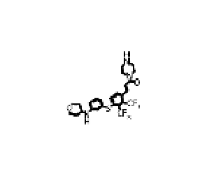 O=C(/C=C/c1ccc(Sc2cccc(NC3CCOCC3)c2)c(C(F)(F)F)c1C(F)(F)F)N1CCNCC1